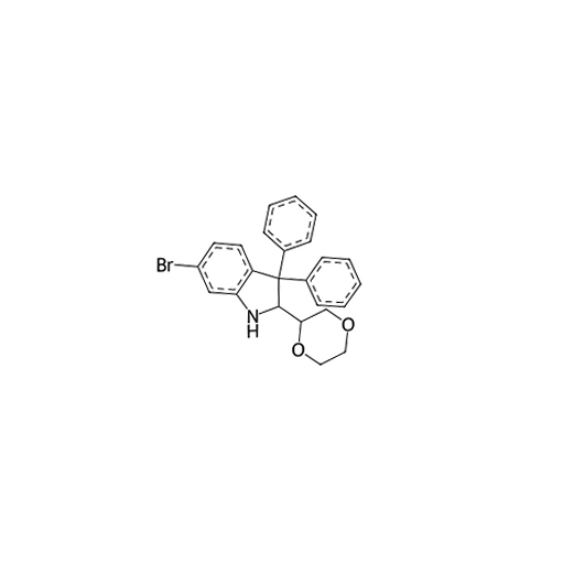 Brc1ccc2c(c1)NC(C1COCCO1)C2(c1ccccc1)c1ccccc1